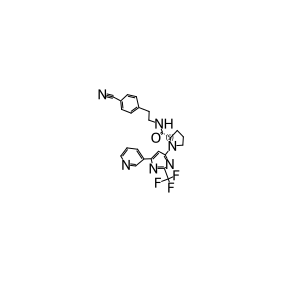 N#Cc1ccc(CCNC(=O)[C@@H]2CCCN2c2cc(-c3cccnc3)nc(C(F)(F)F)n2)cc1